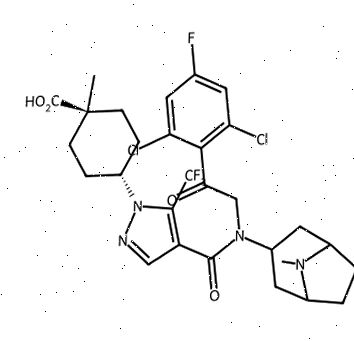 CN1C2CCC1CC(N(CC(=O)c1c(Cl)cc(F)cc1Cl)C(=O)c1cnn([C@H]3CC[C@](C)(C(=O)O)CC3)c1C(F)(F)F)C2